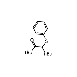 CCCCC(Sc1ccccc1)C(=O)C(C)(C)C